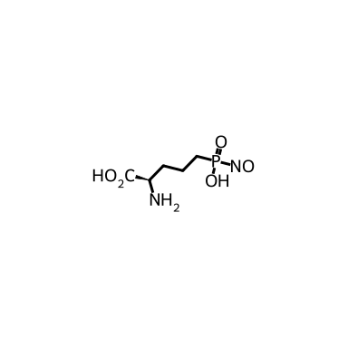 N[C@H](CCCP(=O)(O)N=O)C(=O)O